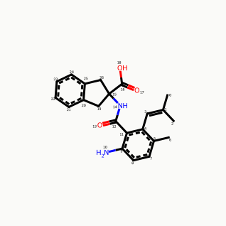 CC(C)=Cc1c(C)ccc(N)c1C(=O)NC1(C(=O)O)Cc2ccccc2C1